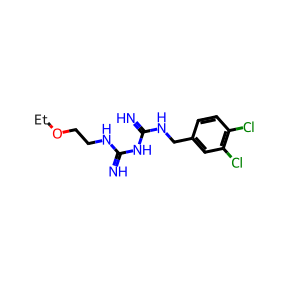 CCOCCNC(=N)NC(=N)NCc1ccc(Cl)c(Cl)c1